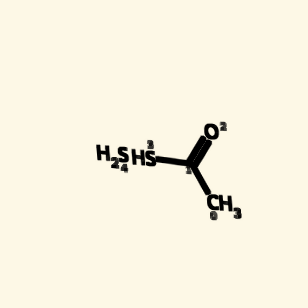 CC(=O)S.S